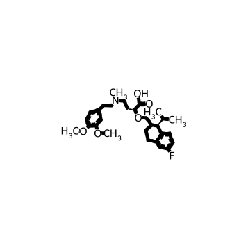 COc1ccc(CCN(C)CC[C@@H](OCC2CCc3cc(F)ccc3[C@@H]2C(C)C)C(=O)O)cc1OC